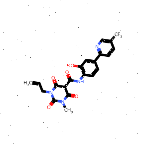 C=CCN1C(=O)C(C(=O)Nc2ccc(-c3ccc(C(F)(F)F)cn3)cc2O)C(=O)N(C)C1=O